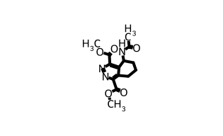 COC(=O)c1nnc(C(=O)OC)c2c1CCCC2NC(C)=O